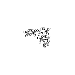 O=P([O-])([O-])OP(=O)([O-])[O-].O=P([O-])([O-])OP(=O)([O-])[O-].O=P([O-])([O-])OP(=O)([O-])[O-].[W+6].[W+6]